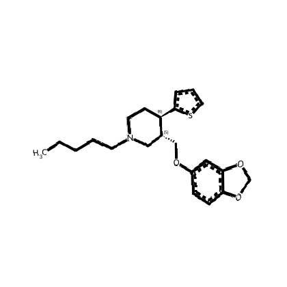 CCCCCN1CC[C@@H](c2cccs2)[C@H](COc2ccc3c(c2)OCO3)C1